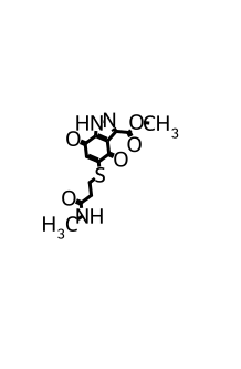 CNC(=O)CCSC1=CC(=O)c2[nH]nc(C(=O)OC)c2C1=O